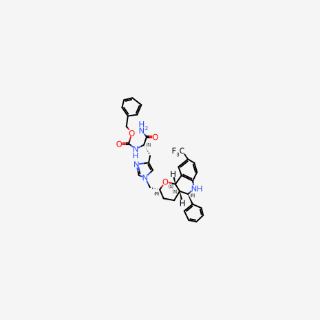 NC(=O)[C@H](Cc1cn(C[C@H]2CC[C@@H]3[C@H](O2)c2cc(C(F)(F)F)ccc2N[C@H]3c2ccccc2)cn1)NC(=O)OCc1ccccc1